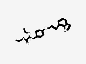 CCOC(=O)[C@H](Cc1ccc(OCC=Cc2cccc3ccoc23)cc1)OCC